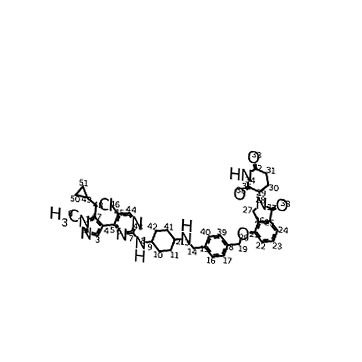 Cn1ncc(-c2nc(NC3CCC(NCc4ccc(COc5cccc6c5CN([C@H]5CCC(=O)NC5=O)C6=O)cc4)CC3)ncc2Cl)c1CC1CC1